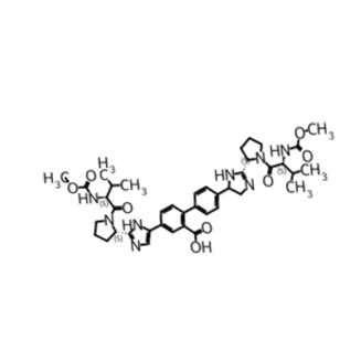 COC(=O)N[C@H](C(=O)N1CCC[C@H]1C1=NCC(c2ccc(-c3ccc(-c4cnc([C@@H]5CCCN5C(=O)[C@@H](NC(=O)OC)C(C)C)[nH]4)cc3C(=O)O)cc2)N1)C(C)C